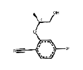 C[C@@H](CO)Oc1cc(Br)ccc1C#N